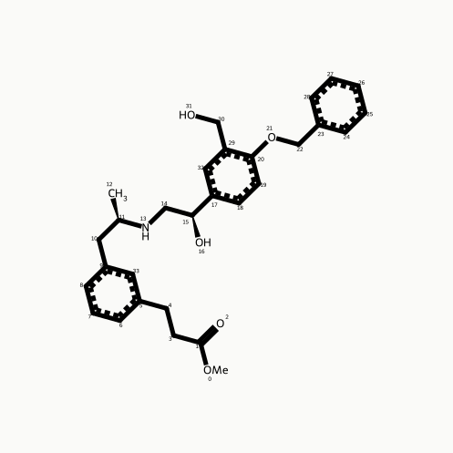 COC(=O)CCc1cccc(C[C@@H](C)NC[C@H](O)c2ccc(OCc3ccccc3)c(CO)c2)c1